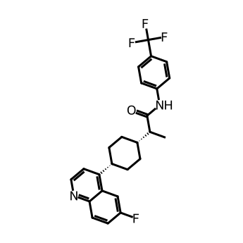 CC(C(=O)Nc1ccc(C(F)(F)F)cc1)[C@H]1CC[C@@H](c2ccnc3ccc(F)cc32)CC1